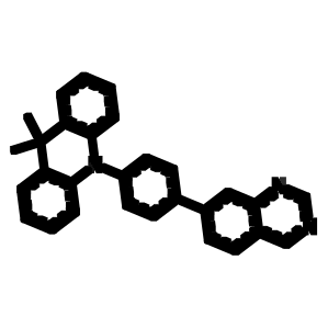 CC1(C)c2ccccc2N(c2ccc(-c3ccc4cncnc4c3)cc2)c2ccccc21